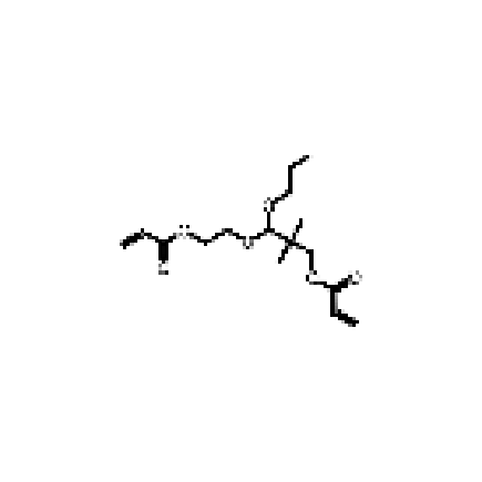 C=CC(=O)OCCOC(OCCC)C(C)(C)COC(=O)C=C